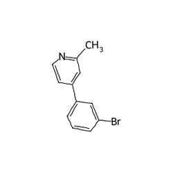 Cc1cc(-c2cccc(Br)c2)ccn1